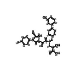 O=C(NC(Cc1ccc(-c2cccc(Cl)c2)cc1)CC(O)C(=O)O)c1nn(-c2ccc(F)cc2)c(=O)[nH]1